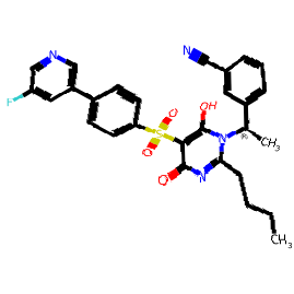 CCCCc1nc(=O)c(S(=O)(=O)c2ccc(-c3cncc(F)c3)cc2)c(O)n1[C@H](C)c1cccc(C#N)c1